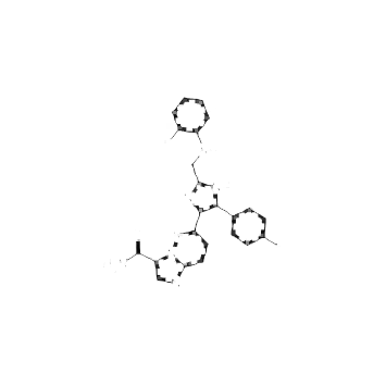 NC(=O)c1cnc2ccc(-c3nc(CNc4ccccc4F)[nH]c3-c3ccc(F)cc3)nn12